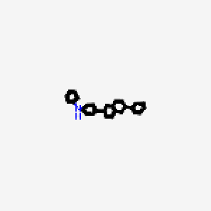 C1=CC(c2ccccc2)Cc2ccc(-c3ccc(Nc4ccccc4)cc3)cc21